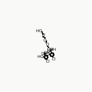 O=C(O)c1ccc(Cl)cc1O.O=C(O)c1ccc(Cl)cc1O.OCCOCCOCCOCCO